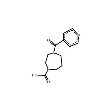 O=C(O)N1CCCN(C(=O)c2ccncc2)CC1